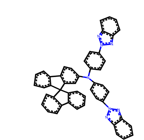 c1ccc2c(c1)-c1ccccc1C21c2ccccc2-c2ccc(N(c3ccc(-n4nc5ccccc5n4)cc3)c3ccc(-n4nc5ccccc5n4)cc3)cc21